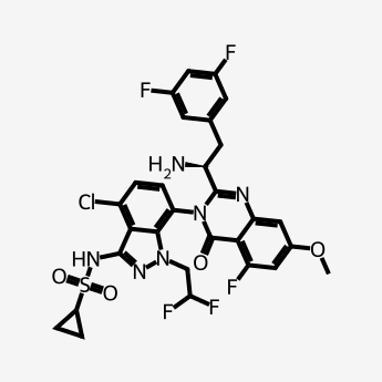 COc1cc(F)c2c(=O)n(-c3ccc(Cl)c4c(NS(=O)(=O)C5CC5)nn(CC(F)F)c34)c([C@@H](N)Cc3cc(F)cc(F)c3)nc2c1